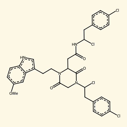 COc1ccc2[nH]cc(CCN3C(=O)CN(C(Cl)Cc4ccc(Cl)cc4)C(=O)C3CC(=O)NC(Cl)Cc3ccc(Cl)cc3)c2c1